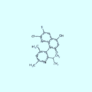 Cc1cc(C)c(-n2c(=O)cc(O)c3cc(F)c(Cl)nc32)c(C(C)C)n1